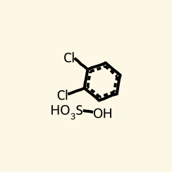 Clc1ccccc1Cl.O=S(=O)(O)O